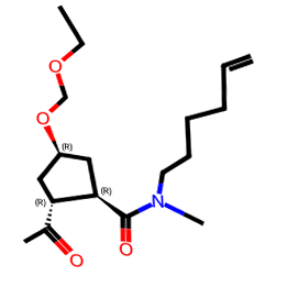 C=CCCCCN(C)C(=O)[C@@H]1C[C@H](OCOCC)C[C@H]1C(C)=O